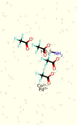 NS(=O)(=O)O.O=C([O-])C(F)(F)F.O=C([O-])C(F)(F)F.O=C([O-])C(F)(F)F.O=C([O-])C(F)(F)F.[Co+2].[Pd+2]